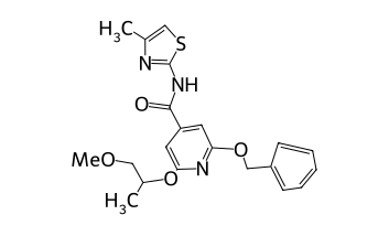 COCC(C)Oc1cc(C(=O)Nc2nc(C)cs2)cc(OCc2ccccc2)n1